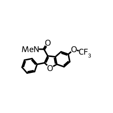 CNC(=O)c1c(-c2ccccc2)oc2ccc(OC(F)(F)F)cc12